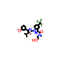 COc1cccc(-c2nc(-n3nc(C(=O)N(C)CCO)c4cc(C(F)(F)F)ccc43)sc2C(C)C)c1